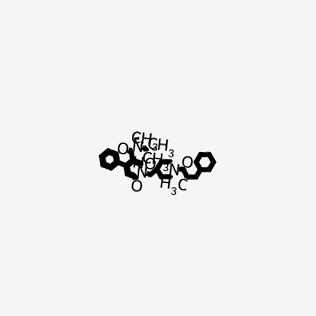 CC(CC1CCCCC1)C(=O)N1CCC(O)(Cn2cc(C(=O)N(C)C(C)C)c(-c3ccccc3)cc2=O)CC1